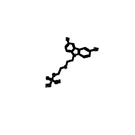 O=P(O)(O)OCCSCCn1c2ccc(Br)cc2c2cc(Br)ccc21